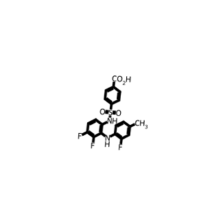 Cc1ccc(Nc2c(NS(=O)(=O)c3ccc(C(=O)O)cc3)ccc(F)c2F)c(F)c1